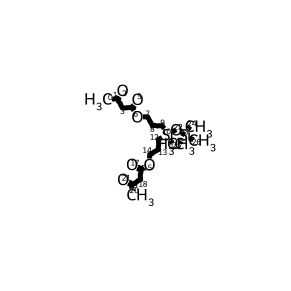 CC(=O)CC(=O)OCCC[Si](C)(CCCOC(=O)CC(C)=O)O[Si](C)(C)C